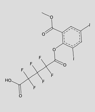 COC(=O)c1cc(I)cc(I)c1OC(=O)C(F)(F)C(F)(F)C(F)(F)C(=O)O